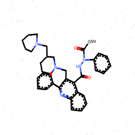 COC(=O)N(NC(=O)c1c(CN2CCCC(CN3CCCCC3)C2)c(-c2ccccc2)nc2ccccc12)c1ccccc1